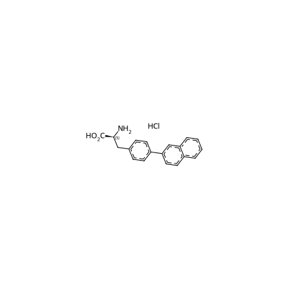 Cl.N[C@@H](Cc1ccc(-c2ccc3ccccc3c2)cc1)C(=O)O